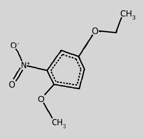 CCOc1ccc(OC)c([N+](=O)[O-])c1